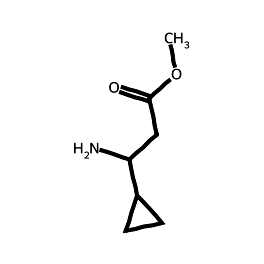 COC(=O)CC(N)C1CC1